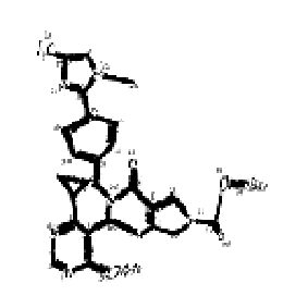 COc1ncnc(C2CC2)c1-c1nc2c(c(=O)n1Cc1ccc(-c3nc(C(F)(F)F)cn3C)cc1)CN(C(=O)OC(C)(C)C)C2